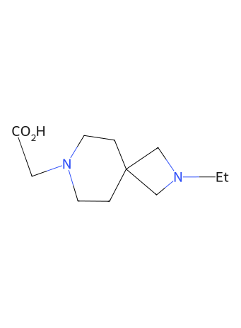 CCN1CC2(CCN(CC(=O)O)CC2)C1